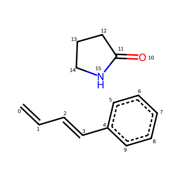 C=CC=Cc1ccccc1.O=C1CCCN1